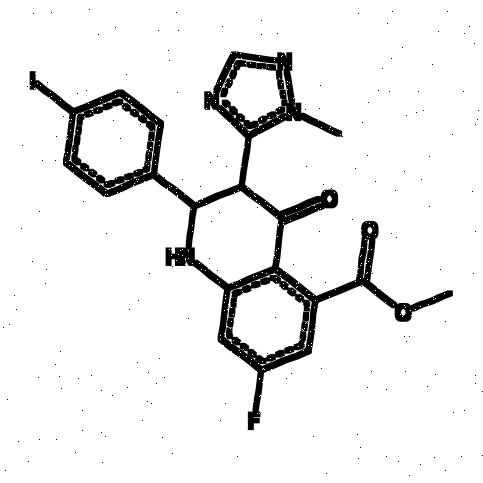 COC(=O)c1cc(F)cc2c1C(=O)C(c1ncnn1C)C(c1ccc(I)cc1)N2